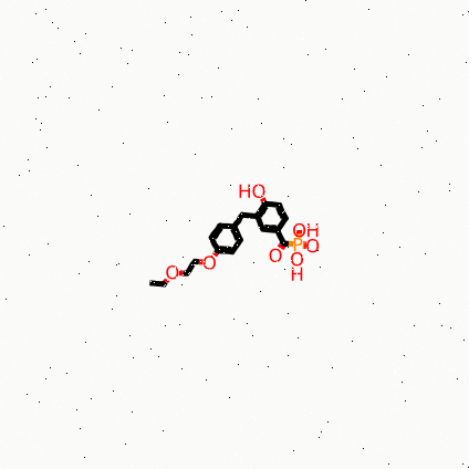 CCOCCOc1ccc(Cc2cc(C(=O)P(=O)(O)O)ccc2O)cc1